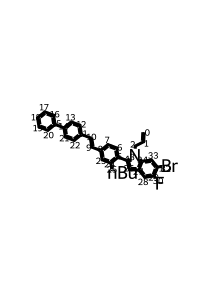 C=CCn1c(-c2ccc(C=Cc3ccc(-c4ccccc4)cc3)cc2CCCC)cc2cc(F)c(Br)cc21